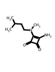 CC(C)CCN(C)c1c(N)c(=O)c1=O